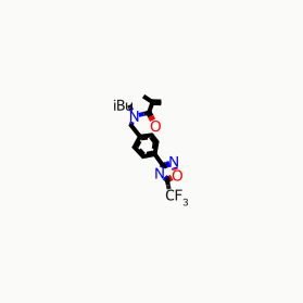 C=C(C)C(=O)N(Cc1ccc(-c2noc(C(F)(F)F)n2)cc1)C(C)CC